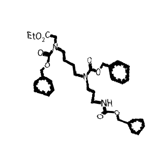 CCOC(=O)CN(CCCCN(CCCNC(=O)OCc1ccccc1)C(=O)OCc1ccccc1)C(=O)OCc1ccccc1